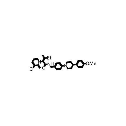 C=C1C(Cl)=CC=CN1/C(C(=O)NCc1ccc(N2CCC(c3ccc(OC)cc3)CC2)cc1)=C(\C)CC